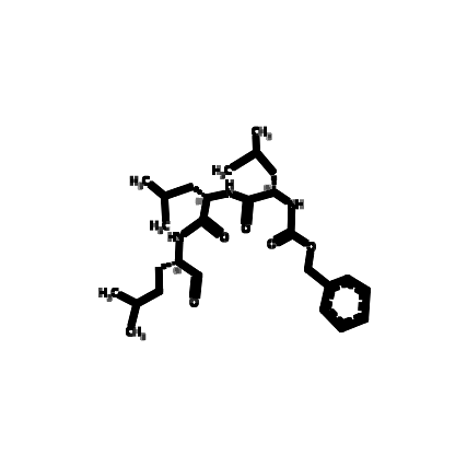 CC(C)CC[C@@H](C=O)NC(=O)[C@H](CC(C)C)NC(=O)[C@H](CC(C)C)NC(=O)OCc1ccccc1